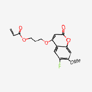 C=CC(=O)OCCCOc1cc(=O)oc2cc(OC)c(F)cc12